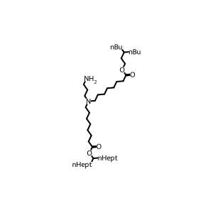 CCCCCCCC(CCCCCCC)OC(=O)CCCCCCCN(CCCN)CCCCCCCC(=O)OCCC(CCCC)CCCC